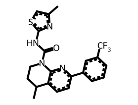 Cc1csc(NC(=O)N2CCC(C)c3ccc(-c4cccc(C(F)(F)F)c4)nc32)n1